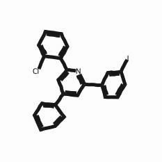 Clc1ccccc1-c1cc(-c2ccccc2)cc(-c2cccc(I)c2)n1